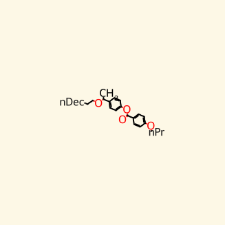 CCCCCCCCCCCCOC(C)c1ccc(OC(=O)c2ccc(OCCC)cc2)cc1